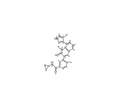 Cc1ccc(C(=O)NC2CC2)cc1-c1cc2cnnc(-c3c[nH]nc3C)c2n(C)c1=O